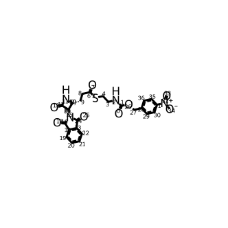 O=C(NCCSC(=O)CC[C@H]1NC(=O)[C@@H]1N1C(=O)c2ccccc2C1=O)OCc1ccc([N+](=O)[O-])cc1